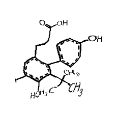 CC(C)(C)c1c(O)c(I)cc(CCC(=O)O)c1-c1ccc(O)cc1